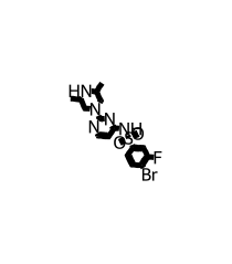 CC1CN(c2nccc(NS(=O)(=O)c3ccc(Br)c(F)c3)n2)CC(C)N1